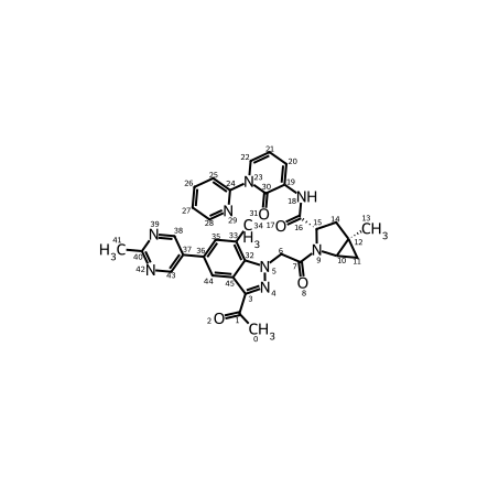 CC(=O)c1nn(CC(=O)N2C3C[C@]3(C)C[C@H]2C(=O)Nc2cccn(-c3ccccn3)c2=O)c2c(C)cc(-c3cnc(C)nc3)cc12